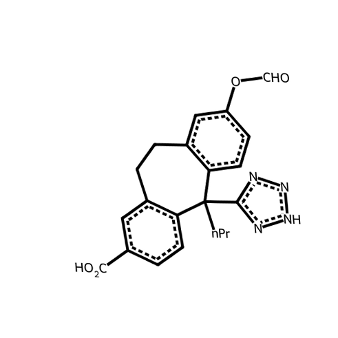 CCCC1(c2nn[nH]n2)c2ccc(OC=O)cc2CCc2cc(C(=O)O)ccc21